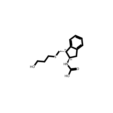 O=C(O)N[C@@H]1Cc2ccccc2[C@H]1CSCCCO